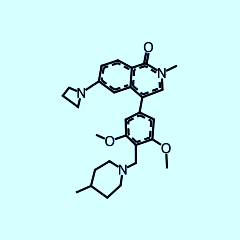 COc1cc(-c2cn(C)c(=O)c3ccc(N4CCC4)cc23)cc(OC)c1CN1CCC(C)CC1